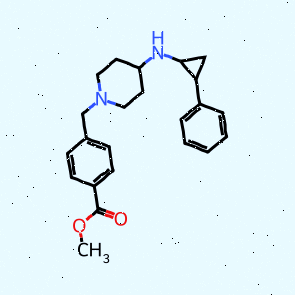 COC(=O)c1ccc(CN2CCC(NC3CC3c3ccccc3)CC2)cc1